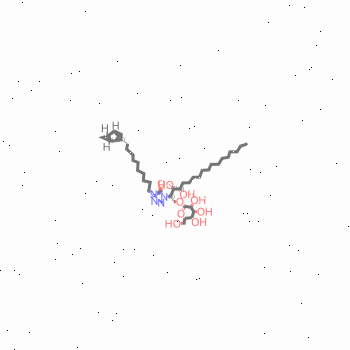 CCCCCCCCCCCCCC[C@@H](O)[C@@H](O)[C@H](COC1OC(CO)C(O)C(O)C1O)n1nnn(CCCCCCCCCC[C@H]2C[C@@H]3CC2[C@@H]2C[C@H]32)c1=O